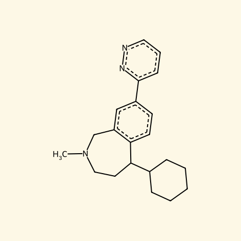 CN1CCC(C2CCCCC2)c2ccc(-c3cccnn3)cc2C1